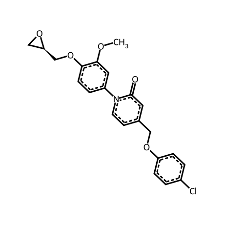 COc1cc(-n2ccc(COc3ccc(Cl)cc3)cc2=O)ccc1OC[C@H]1CO1